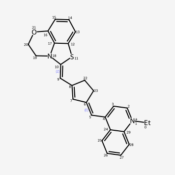 CC[n+]1ccc(/C=C2C=C(/C=C3\Sc4cccc5c4N3CCO5)CC/2)c2ccccc21